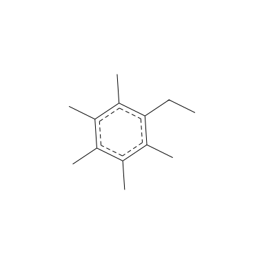 CCc1c(C)c(C)c(C)c(C)c1C